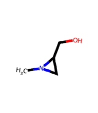 CN1CC1CO